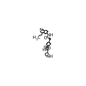 CCCc1cncc2ccc(NC(=O)[C@@H]3CC3c3ccc(S(=O)(=O)NCC4CCCNC4)cc3)cc12